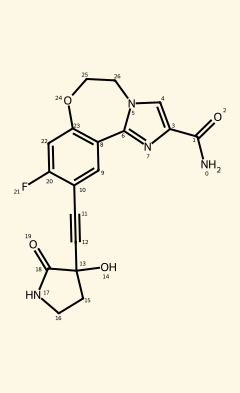 NC(=O)c1cn2c(n1)-c1cc(C#CC3(O)CCNC3=O)c(F)cc1OCC2